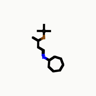 CC(CC=NC1CCCCCC1)S[Si](C)(C)C